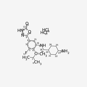 CC(C)Oc1c(F)cc(-c2n[nH]c(=O)o2)cc1N[C@@H](C)C1CCC(N)CC1.Cl.Cl